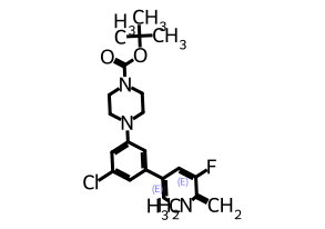 C=C(N)/C(F)=C\C(=C/C)c1cc(Cl)cc(N2CCN(C(=O)OC(C)(C)C)CC2)c1